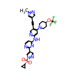 Cn1cc(C#Cc2cnc(Nc3ccnc(-c4cnn(S(=O)(=O)C5CC5)c4)n3)cc2N2CCC(OC(F)(F)F)CC2)cn1